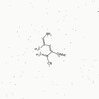 C=C(C#N)/C(=C\C(C)=C/N)OC